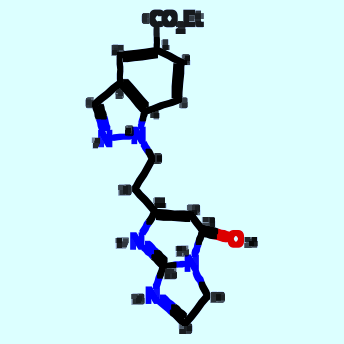 CCOC(=O)c1ccc2c(cnn2CCc2cc(=O)n3c(n2)N=CC3)c1